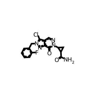 NC(=O)C1CC1n1ncc2c(Cl)n(Cc3ccccc3F)nc2c1=O